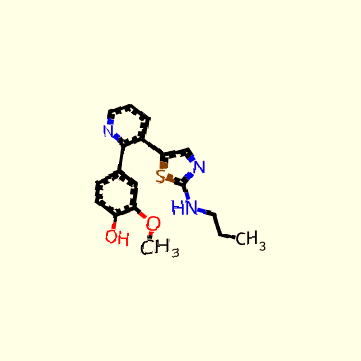 CCCNc1ncc(-c2cccnc2-c2ccc(O)c(OC)c2)s1